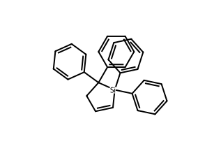 C1=C[Si](c2ccccc2)(c2ccccc2)C(c2ccccc2)(c2ccccc2)C1